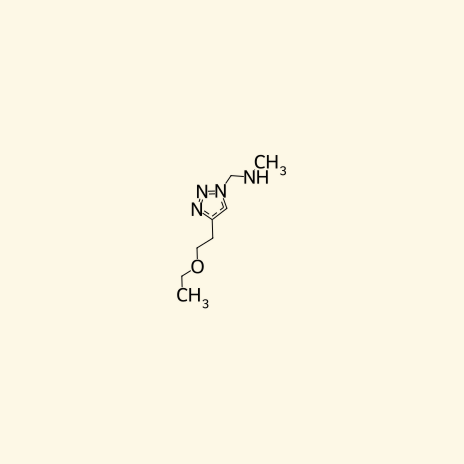 CCOCCc1cn(CNC)nn1